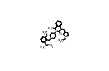 CCN1CCC(CN2c3ccccc3C(N)N(C3CCN(Cc4c(OC)cccc4N(C)C)CC3)C2N)C1